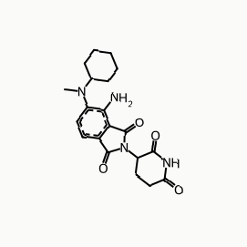 CN(c1ccc2c(c1N)C(=O)N(C1CCC(=O)NC1=O)C2=O)C1CCCCC1